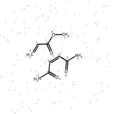 C=CC(=O)OC.NC(=O)/C=C\C(N)=O